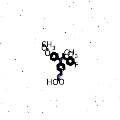 CC/C(=C(/c1ccc(/C=C/C(=O)O)cc1)c1ccc(OCOC)cc1)c1ccc(F)cc1Cl